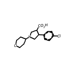 O=C(O)C1CN(C2CCOCC2)CC1c1ccc(Cl)cc1